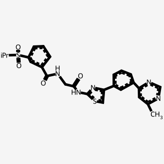 Cc1cc(-c2cccc(-c3csc(NC(=O)CNC(=O)c4cccc(S(=O)(=O)C(C)C)c4)n3)c2)ncn1